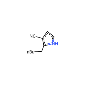 CCCCCc1[nH]ccc1C#N